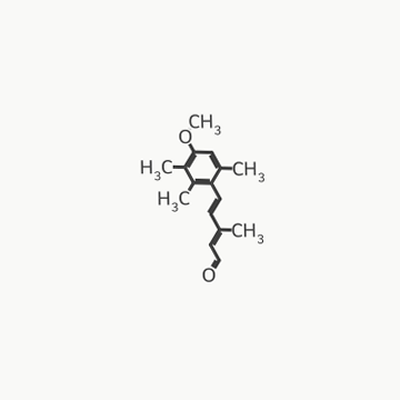 COc1cc(C)c(/C=C/C(C)=C/C=O)c(C)c1C